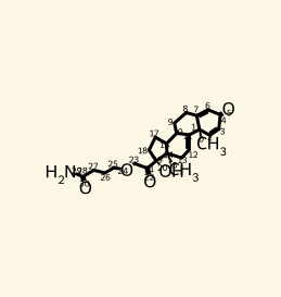 C[C@]12C=CC(=O)C=C1CCC1C2=CC[C@@]2(C)C1CC[C@]2(O)C(=O)COCCCC(N)=O